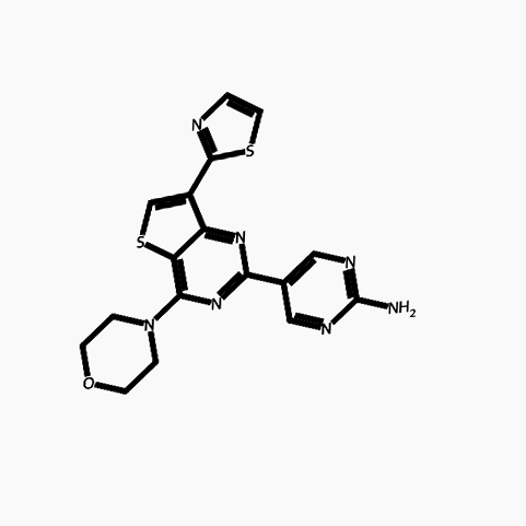 Nc1ncc(-c2nc(N3CCOCC3)c3scc(-c4nccs4)c3n2)cn1